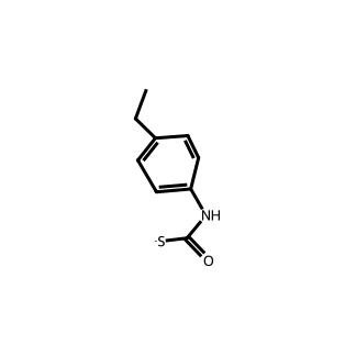 CCc1ccc(NC(=O)[S])cc1